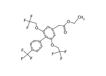 CCOC(=O)Cc1cc(OCC(F)(F)F)c(-c2ccc(C(F)(F)F)cc2)c(OCC(F)(F)F)c1